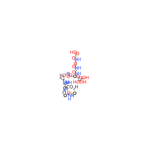 C/C(NCC1(C)CC2(C)CC(C)(C)CC(OCCN(C)C(=O)OCc3ccc(OC4CC(O)C(O)C(CO)O4)c(NC(=O)CCNC(=O)COCCNC(=O)CCS(=O)O)c3)(C1)C2)=C(/C=N)c1ccc(N2CCc3cccc(C(=O)Nc4nc5ccccc5s4)c3C2)nc1C(=O)O